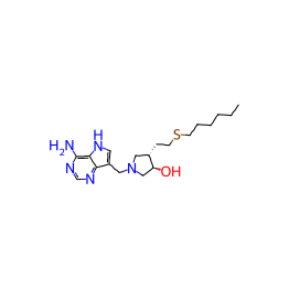 CCCCCCSCC[C@H]1CN(Cc2c[nH]c3c(N)ncnc23)C[C@@H]1O